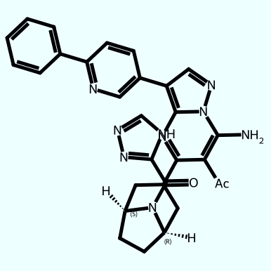 CC(=O)c1c(C2C[C@H]3CC[C@@H](C2)N3C(=O)c2nnc[nH]2)nc2c(-c3ccc(-c4ccccc4)nc3)cnn2c1N